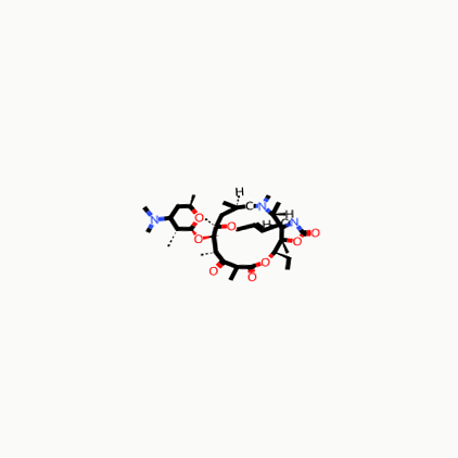 CC[C@H]1OC(=O)C(C)C(=O)[C@H](C)[C@@H](O[C@@H]2O[C@H](C)CC(N(C)C)[C@H]2C)[C@@]2(C)C[C@@H](C)CN(C)[C@H](C)[C@H]3N(C/C=C/CO2)C(=O)O[C@]13C